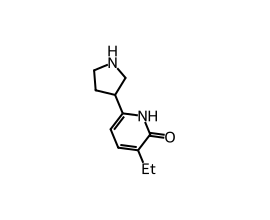 CCc1ccc(C2CCNC2)[nH]c1=O